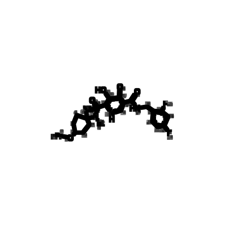 CCCOC1CCC(NC)(N(CC)C(=O)c2[nH]cc(C(=O)NCc3ccc(F)cc3F)c(=O)c2O)CC1